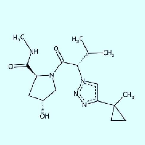 CNC(=O)[C@@H]1C[C@@H](O)CN1C(=O)[C@H](C(C)C)n1cc(C2(C)CC2)nn1